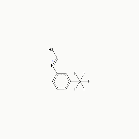 FS(F)(F)(F)(F)c1cccc(/N=C/S)c1